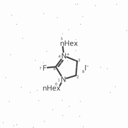 CCCCCCN1CC[N+](CCCCCC)=C1F.[I-]